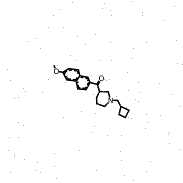 COc1ccc2cc(C(=O)C3CCCN(CC4CCC4)C3)ccc2c1